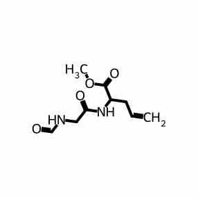 C=CCC(NC(=O)CNC=O)C(=O)OC